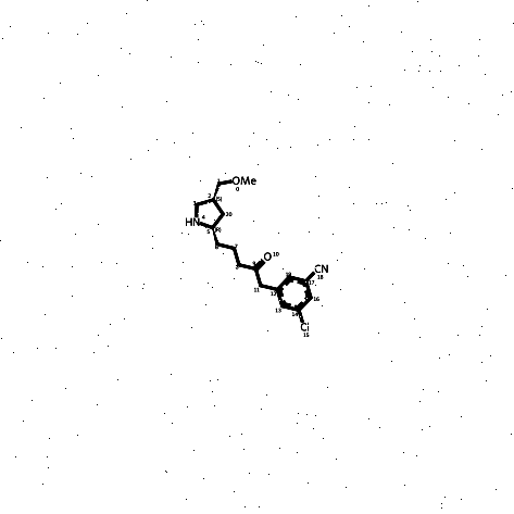 COC[C@@H]1CN[C@H](CCCC(=O)Cc2cc(Cl)cc(C#N)c2)C1